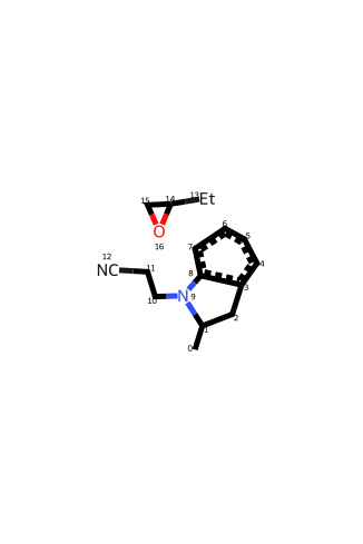 CC1Cc2ccccc2N1CCC#N.CCC1CO1